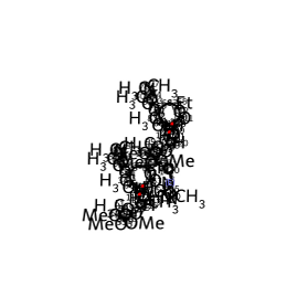 CC1=NNC(=O)N(/N=C/c2cccnc2)C1.CC[C@H]1CCC[C@H](O[C@H]2CC[C@H](N(C)C)[C@@H](C)O2)[C@@H](C)C(=O)C2=C[C@@H]3[C@@H](C=C(C)[C@@H]4C[C@@H](O[C@@H]5O[C@@H](C)[C@H](OC)[C@@H](OC)[C@H]5OC)C[C@@H]34)[C@@H]2CC(=O)O1.CC[C@H]1CCC[C@H](O[C@H]2CC[C@H](N(C)C)[C@@H](C)O2)[C@@H](C)C(=O)C2=C[C@@H]3[C@@H](C=C[C@@H]4C[C@@H](O[C@@H]5O[C@@H](C)[C@H](OC)[C@@H](OC)[C@H]5OC)C[C@@H]34)[C@@H]2CC(=O)O1